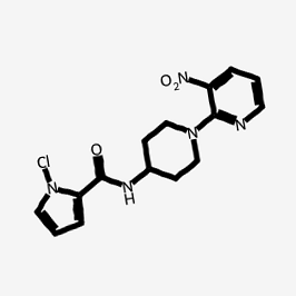 O=C(NC1CCN(c2ncccc2[N+](=O)[O-])CC1)c1cccn1Cl